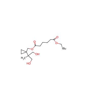 CC(C)(C)COC(=O)CCCCC(=O)OCC1(C(C)(CO)CO)CC1